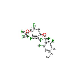 CCc1cc(F)c(C(F)(F)Oc2cc(F)c(OC(F)(F)F)c(F)c2)c(F)c1